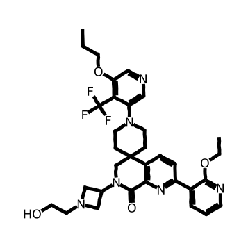 CCCOc1cncc(N2CCC3(CC2)CN(C2CN(CCO)C2)C(=O)c2nc(-c4cccnc4OCC)ccc23)c1C(F)(F)F